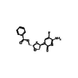 Nc1nc(=O)n([C@H]2CO[C@H](COC(=O)c3ccccc3)S2)cc1F